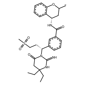 CCC1(CC)CC(=O)N([C@H](CCS(C)(=O)=O)c2cccc(C(=O)N[C@H]3CC(F)Oc4ccccc43)c2)C(=N)N1